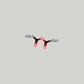 CCCCCCCCC(=O)OC(=O)CCCCCCCC